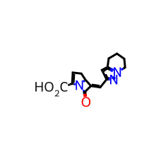 O=C(O)C1=CCC2/C(=C\c3cc4n(n3)CCCC4)C(=O)N12